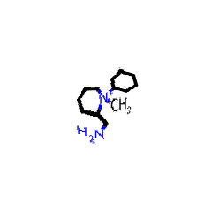 C[N+]1(C2CCCCC2)CCCCC1CN